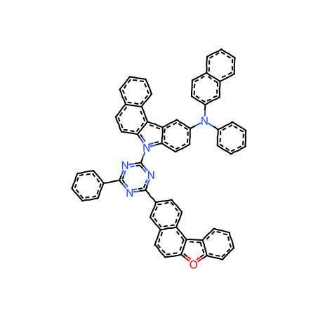 c1ccc(-c2nc(-c3ccc4c(ccc5oc6ccccc6c54)c3)nc(-n3c4ccc(N(c5ccccc5)c5ccc6ccccc6c5)cc4c4c5ccccc5ccc43)n2)cc1